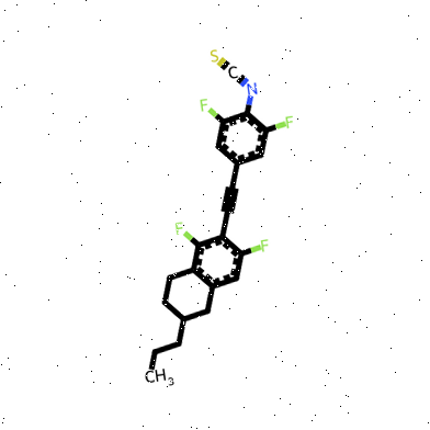 CCCC1CCc2c(cc(F)c(C#Cc3cc(F)c(N=C=S)c(F)c3)c2F)C1